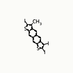 Cc1c(I)sc2cc3cc4sc(I)c(I)c4cc3cc12